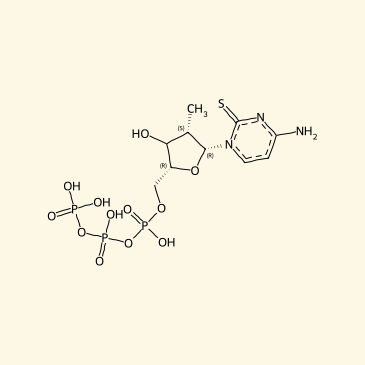 C[C@H]1C(O)[C@@H](COP(=O)(O)OP(=O)(O)OP(=O)(O)O)O[C@H]1n1ccc(N)nc1=S